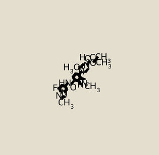 Cc1cn2cc(NC(=O)c3ccc(N4CCN(C(=O)OC(C)(C)C)C[C@H]4C)c4cn(C)nc34)cc(F)c2n1